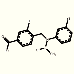 CCC(=O)c1ccc(CN(c2cccc(Cl)c2)[S+](C)[O-])c(F)c1